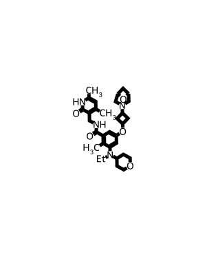 CCN(c1cc(OC2CC(N3CC4CC(C3)O4)C2)cc(C(=O)NCc2c(C)cc(C)[nH]c2=O)c1C)C1CCOCC1